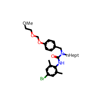 CCCCCCCN(Cc1ccc(OCOCCOC)cc1)C(=O)Nc1c(C)cc(Br)cc1C